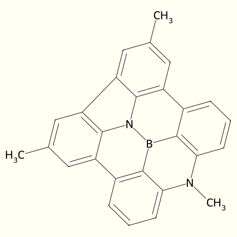 Cc1cc2c3c(c1)c1cc(C)cc4c1n3B1c3c-2cccc3N(C)c2cccc-4c21